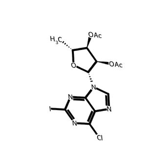 CC(=O)O[C@@H]1[C@H](OC(C)=O)[C@@H](C)O[C@H]1n1cnc2c(Cl)nc(I)nc21